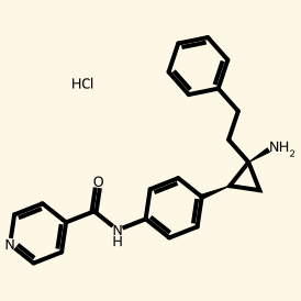 Cl.N[C@@]1(CCc2ccccc2)C[C@H]1c1ccc(NC(=O)c2ccncc2)cc1